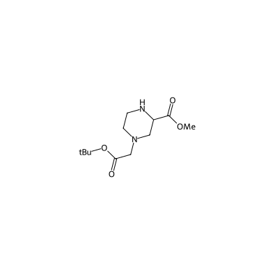 COC(=O)C1CN(CC(=O)OC(C)(C)C)CCN1